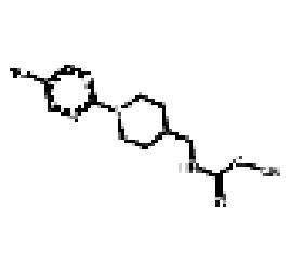 CC(C)(C)OC(=O)NCC1CCN(c2ncc(C#N)cn2)CC1